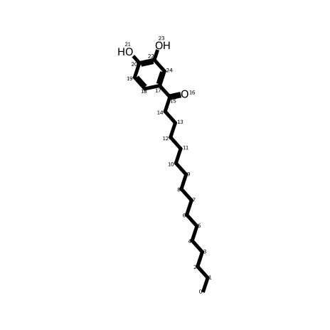 CCCCCCCCCCCCCCCC(=O)c1ccc(O)c(O)c1